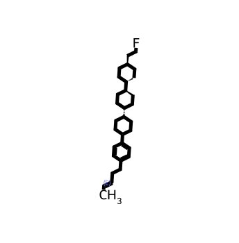 C/C=C/CCc1ccc(C2CCC([C@H]3CC[C@H]([C@H]4CC[C@H](CCF)CC4)CC3)CC2)cc1